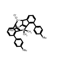 CCCCCCC1=C2c3c(-c4ccc(CCCC)cc4)cccc3[CH]1[Zr+2][CH]1C(CCCCCC)=C(c3c(-c4ccc(CCCC)cc4)cccc31)[Si]2(C)C.[Cl-].[Cl-]